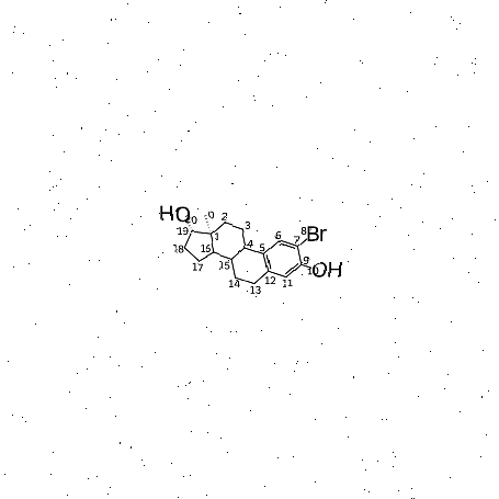 C[C@]12CCC3c4cc(Br)c(O)cc4CCC3C1CC[C@@H]2O